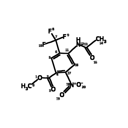 COC(=O)c1cc(C(F)(F)F)c(NC(C)=O)cc1[N+](=O)[O-]